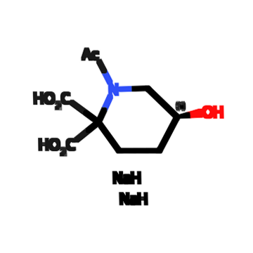 CC(=O)N1C[C@@H](O)CCC1(C(=O)O)C(=O)O.[NaH].[NaH]